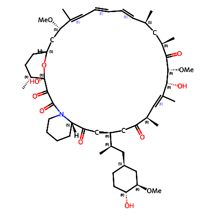 CO[C@H]1C[C@@H]2CC[C@@H](C)[C@@](O)(O2)C(=O)C(=O)N2CCCC[C@H]2C(=O)C[C@H]([C@H](C)C[C@@H]2CC[C@@H](O)[C@H](OC)C2)CC(=O)[C@H](C)/C=C(\C)[C@@H](O)[C@@H](OC)C(=O)[C@H](C)C[C@H](C)/C=C/C=C/C=C/1C